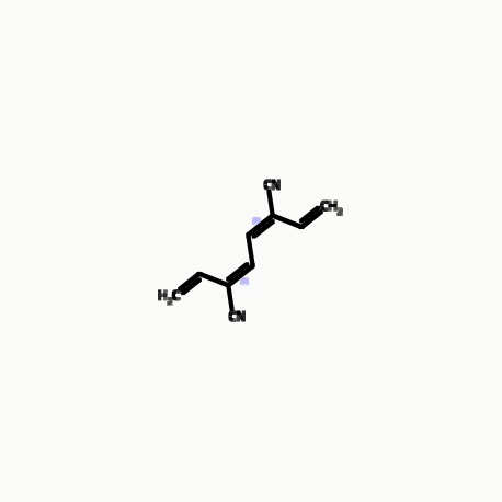 C=C/C(C#N)=C\C=C(\C#N)C=C